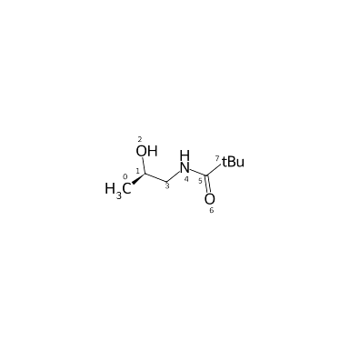 C[C@@H](O)CNC(=O)C(C)(C)C